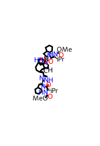 COC(=O)N[C@H](C(=O)N1C2CCCCC2C[C@H]1c1nc(C2=CC3=C(c4c[nH]c([C@@H]5CC6CCCCC6N5C(=O)[C@@H](NC(=O)OC)C(C)C)n4)C[C@@H]2CC[C@@H]2C=CC(=CC2)CC3)c[nH]1)C(C)C